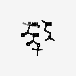 CNCCN(C)C.C[C@H](N)C(=O)NC(=O)OC(C)(C)C